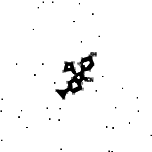 N#Cc1c(-c2ccc(S)cn2)n(C2CCC2)c2cc(C3CC3)ccc12